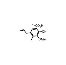 C=CCc1ccc(O)c(OC)c1C.CC(=O)O